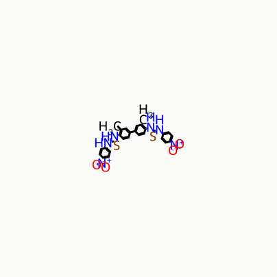 Cc1cc(-c2ccc(NC(=S)Nc3ccc([N+](=O)[O-])cc3)c(C)c2)ccc1NC(=S)Nc1ccc([N+](=O)[O-])cc1